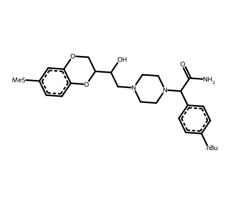 CCCCc1ccc(C(C(N)=O)N2CCN(CC(O)C3COc4cc(SC)ccc4O3)CC2)cc1